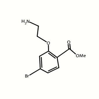 COC(=O)c1ccc(Br)cc1OCCN